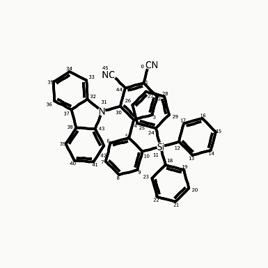 N#Cc1ccc(-c2ccccc2[Si](c2ccccc2)(c2ccccc2)c2ccccc2)c(-n2c3ccccc3c3ccccc32)c1C#N